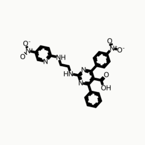 O=C(O)c1c(-c2ccccc2)nc(NCCNc2ccc([N+](=O)[O-])cn2)nc1-c1ccc([N+](=O)[O-])cc1